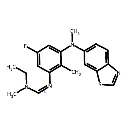 CCN(C)/C=N\c1cc(F)cc(N(C)c2ccc3ncsc3c2)c1C